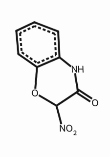 O=C1Nc2ccccc2OC1[N+](=O)[O-]